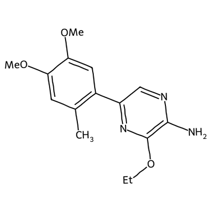 CCOc1nc(-c2cc(OC)c(OC)cc2C)cnc1N